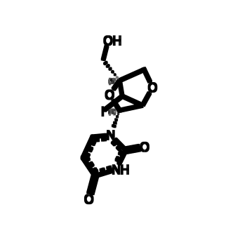 O=c1ccn([C@@H]2O[C@@]3(CO)COC2C3I)c(=O)[nH]1